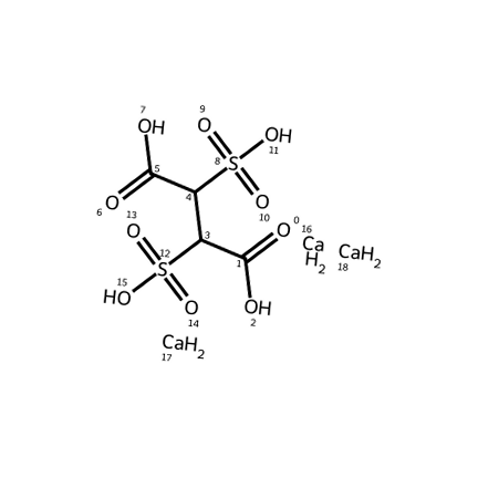 O=C(O)C(C(C(=O)O)S(=O)(=O)O)S(=O)(=O)O.[CaH2].[CaH2].[CaH2]